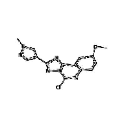 COc1ccc2nc(Cl)n3nc(-c4cnn(C)c4)nc3c2c1